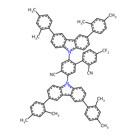 Cc1ccc(-c2ccc3c(c2)c2cc(-c4ccc(C)cc4C)ccc2n3-c2cc(-c3ccc(C(F)(F)F)cc3C#N)c(-n3c4ccc(-c5ccc(C)cc5C)cc4c4cc(-c5ccc(C)cc5C)ccc43)cc2C#N)c(C)c1